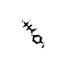 COc1ccc(OC(=O)C(C)(C)C(F)(F)F)cc1